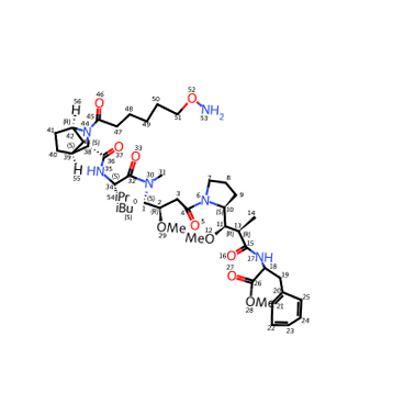 CC[C@H](C)[C@@H]([C@@H](CC(=O)N1CCC[C@H]1[C@H](OC)[C@@H](C)C(=O)NC(Cc1ccccc1)C(=O)OC)OC)N(C)C(=O)[C@@H](NC(=O)[C@@H]1[C@H]2CC[C@H](C2)N1C(=O)CCCCCON)C(C)C